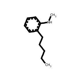 CCCCCc1[c]cccc1NC